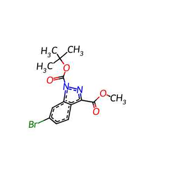 COC(=O)c1nn(C(=O)OC(C)(C)C)c2cc(Br)ccc12